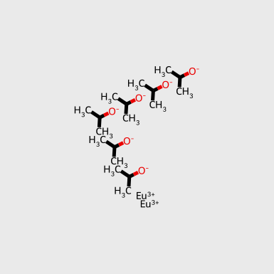 CC(C)[O-].CC(C)[O-].CC(C)[O-].CC(C)[O-].CC(C)[O-].CC(C)[O-].[Eu+3].[Eu+3]